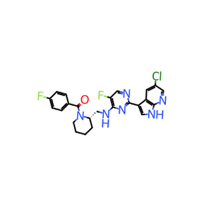 O=C(c1ccc(F)cc1)N1CCCC[C@H]1CNc1nc(-c2c[nH]c3ncc(Cl)cc23)ncc1F